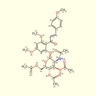 COc1ccc(/C=C/C(=O)c2c(OC)cc(OC)cc2O[C@@H]2O[C@H](COC(C)=O)[C@@H](OC(C)=O)[C@H](OC(C)=O)[C@@H]2NC(C)=O)cc1